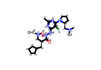 CCN(C)C[C@@H]1CCCN1c1nc(C)nc(NNC(=O)[C@@H](CC2CCCC2)CN(O)C=O)c1F